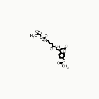 CC(=O)Oc1ccc2c(CNC(=O)CCCNC(=O)OCC(C)C)cc(=O)oc2c1